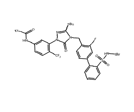 CCCCc1nn(-c2cc(NC(=O)CC)ccc2C(F)(F)F)c(=O)n1Cc1ccc(-c2ccccc2S(=O)(=O)NC(C)(C)C)cc1F